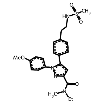 CCN(C)C(=O)c1cc(-c2ccc(CCNS(C)(=O)=O)cc2)n(-c2ccc(OC)cc2)n1